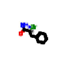 NC(=O)[C@H](Br)Cc1ccccc1